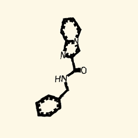 O=C(NCc1ccccc1)c1cn2ccccc2n1